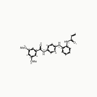 C=CC(=O)Nc1ccccc1Nc1ccc(NC(=O)c2cc(OC)cc(OC)c2)cn1